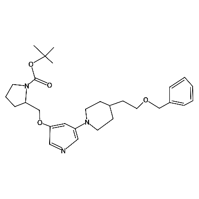 CC(C)(C)OC(=O)N1CCCC1COc1cncc(N2CCC(CCOCc3ccccc3)CC2)c1